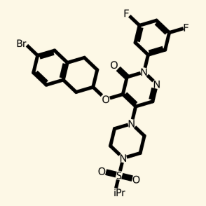 CC(C)S(=O)(=O)N1CCN(c2cnn(-c3cc(F)cc(F)c3)c(=O)c2OC2CCc3cc(Br)ccc3C2)CC1